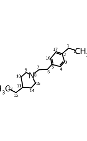 [CH2]Cc1ccc(CCN2CCC(CC)CC2)cc1